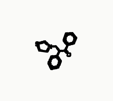 O=C(c1ccccc1)C(CN1CCSC1)c1ccccc1